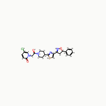 O=C(Cn1cc(Cl)ccc1=O)N1CCC(c2nc(C3=NOC(c4ccccc4)C3)cs2)CC1